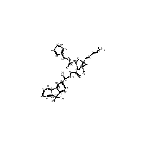 C=CCOC[C@@]12C[C@@H]1N(C(=O)CNC(=O)c1ccc3c(c1)-c1ccccc1C3(F)F)[C@H](C(=O)OCc1ccccc1)C2